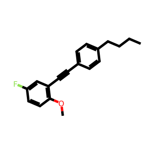 CCCCc1ccc(C#Cc2cc(F)ccc2OC)cc1